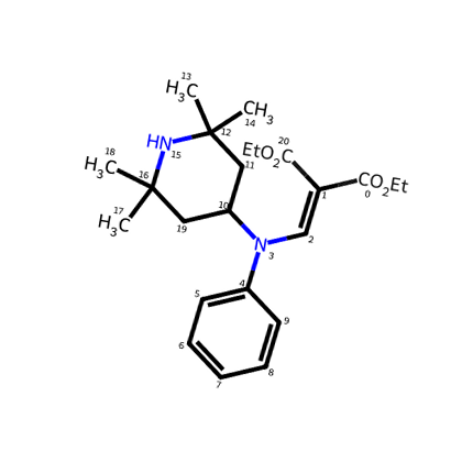 CCOC(=O)C(=CN(c1ccccc1)C1CC(C)(C)NC(C)(C)C1)C(=O)OCC